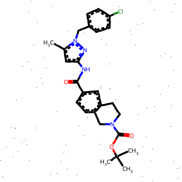 Cc1cc(NC(=O)c2ccc3c(c2)CCN(C(=O)OC(C)(C)C)C3)nn1Cc1ccc(Cl)cc1